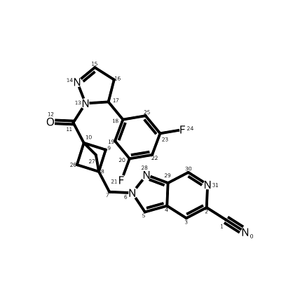 N#Cc1cc2cn(CC34CC(C(=O)N5N=CCC5c5cc(F)cc(F)c5)(C3)C4)nc2cn1